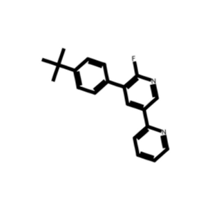 CC(C)(C)c1ccc(-c2cc(-c3ccccn3)cnc2F)cc1